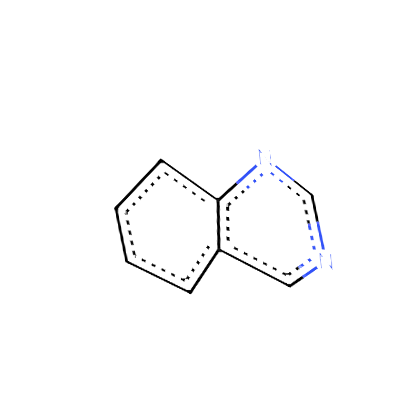 [c]1n[c]c2ccccc2n1